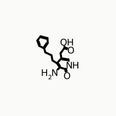 Nc1c(CCCc2ccccc2)c(CC(=O)O)c[nH]c1=O